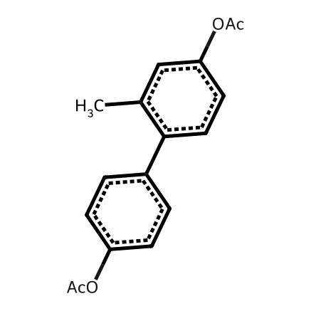 CC(=O)Oc1ccc(-c2ccc(OC(C)=O)cc2C)cc1